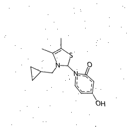 CC1=C(C)N(CC2CC2)C(n2ccc(O)cc2=O)S1